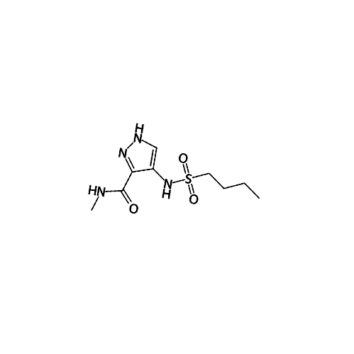 CCCCS(=O)(=O)Nc1c[nH]nc1C(=O)NC